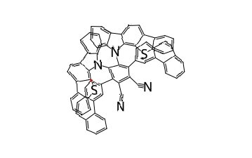 N#Cc1c(C#N)c(-c2ccc3ccc4ccccc4c3c2)c(-n2c3ccccc3c3ccc4c5ccccc5sc4c32)c(-n2c3ccccc3c3ccc4c5ccccc5sc4c32)c1-c1ccc2ccc3ccccc3c2c1